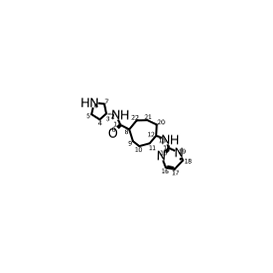 O=C(N[C@@H]1CCNC1)C1CCCC(Nc2ncccn2)CCC1